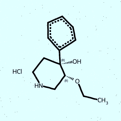 CCO[C@@H]1CNCC[C@@]1(O)c1ccccc1.Cl